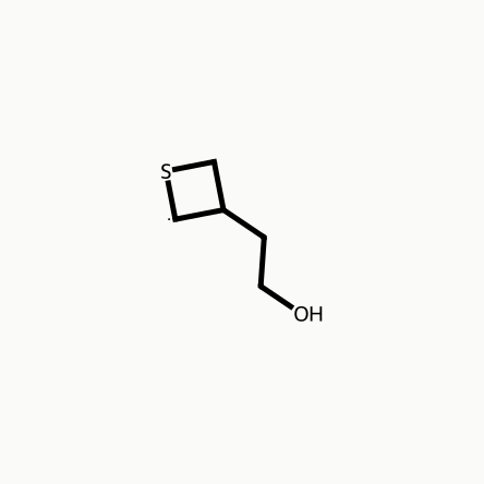 OCCC1[CH]SC1